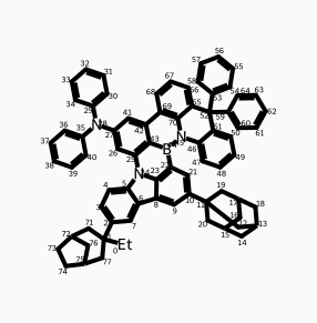 CCC1(c2ccc3c(c2)c2cc(C45CC6CC(CC(C6)C4)C5)cc4c2n3-c2cc(N(c3ccccc3)c3ccccc3)cc3c2B4N2c4ccccc4C(c4ccccc4)(c4ccccc4)c4cccc-3c42)CC2CCC(C2)C1